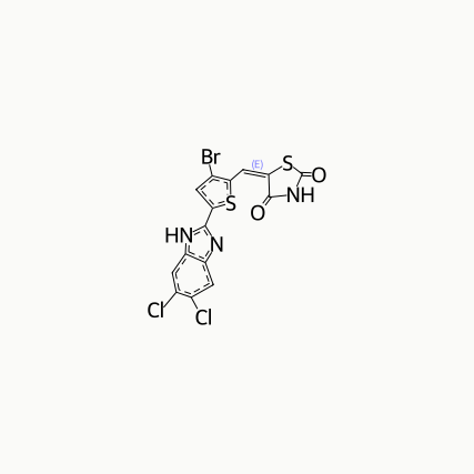 O=C1NC(=O)/C(=C\c2sc(-c3nc4cc(Cl)c(Cl)cc4[nH]3)cc2Br)S1